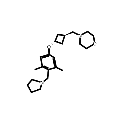 Cc1cc(O[C@H]2C[C@H](CN3CCOCC3)C2)cc(C)c1CN1CCCC1